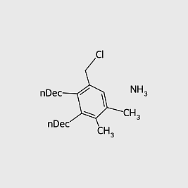 CCCCCCCCCCc1c(CCl)cc(C)c(C)c1CCCCCCCCCC.N